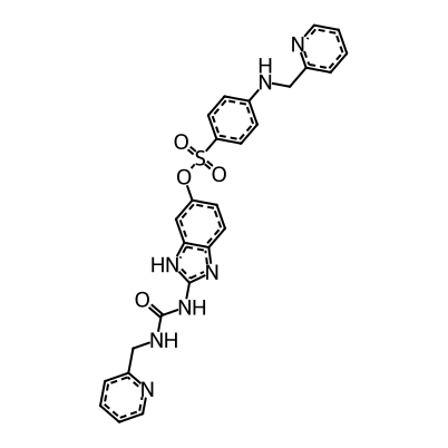 O=C(NCc1ccccn1)Nc1nc2ccc(OS(=O)(=O)c3ccc(NCc4ccccn4)cc3)cc2[nH]1